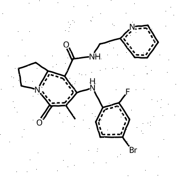 Cc1c(Nc2ccc(Br)cc2F)c(C(=O)NCc2ccccn2)c2n(c1=O)CCC2